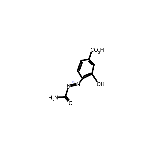 NC(=O)/N=N/c1ccc(C(=O)O)cc1O